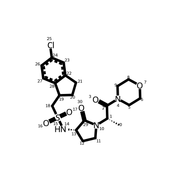 C[C@@H](C(=O)N1CCOCC1)N1CC[C@H](NS(=O)(=O)CC2CCc3cc(Cl)ccc32)C1=O